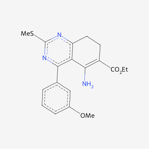 CCOC(=O)C1=C(N)c2c(nc(SC)nc2-c2cccc(OC)c2)CC1